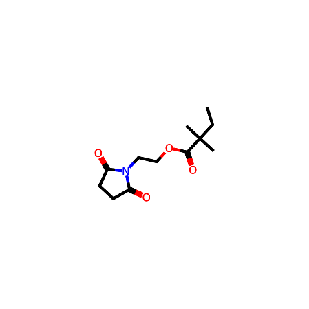 CCC(C)(C)C(=O)OCCN1C(=O)CCC1=O